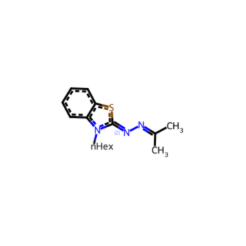 CCCCCCn1/c(=N/N=C(C)C)sc2ccccc21